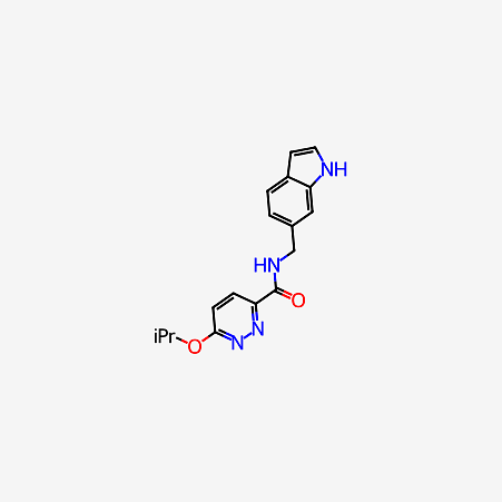 CC(C)Oc1ccc(C(=O)NCc2ccc3cc[nH]c3c2)nn1